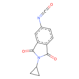 O=C=Nc1ccc2c(c1)C(=O)N(C1CC1)C2=O